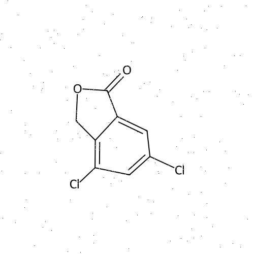 O=C1OCc2c(Cl)cc(Cl)cc21